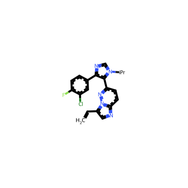 C=Cc1cnc2ccc(-c3c(-c4ccc(F)c(Cl)c4)ncn3C(C)C)nn12